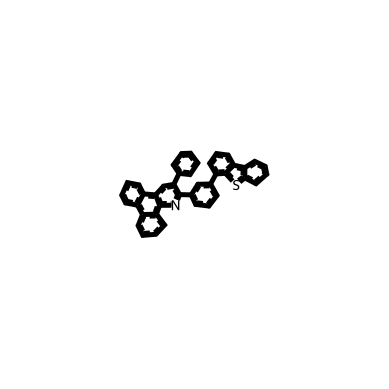 c1ccc(-c2cc3c4ccccc4c4ccccc4c3nc2-c2cccc(-c3cccc4c3sc3ccccc34)c2)cc1